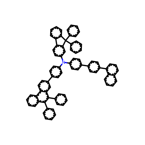 c1ccc(-c2c(-c3ccccc3)c3cc(-c4ccc(N(c5ccc(-c6ccc(-c7cccc8ccccc78)cc6)cc5)c5ccc6c(c5)C(c5ccccc5)(c5ccccc5)c5ccccc5-6)cc4)ccc3c3ccccc23)cc1